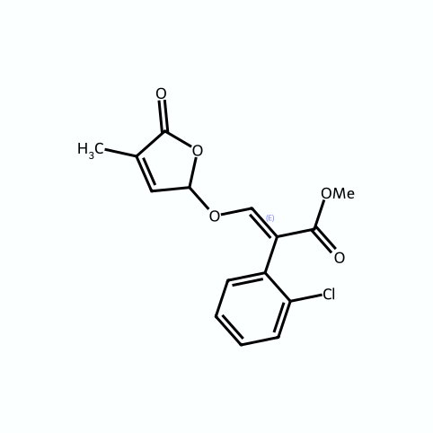 COC(=O)/C(=C/OC1C=C(C)C(=O)O1)c1ccccc1Cl